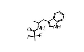 CC(Cc1c[nH]c2ccccc12)NC(=O)C(C)(F)F